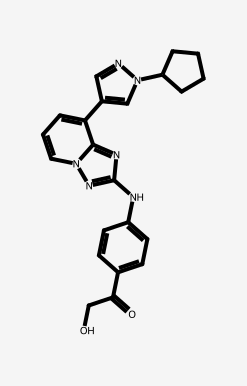 O=C(CO)c1ccc(Nc2nc3c(-c4cnn(C5CCCC5)c4)cccn3n2)cc1